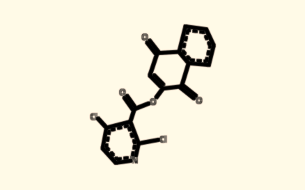 O=C1C=C(OC(=O)c2c(Cl)ccnc2Cl)C(=O)c2ccccc21